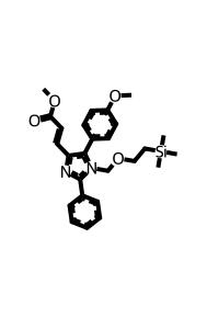 COC(=O)C=Cc1nc(-c2ccccc2)n(COCC[Si](C)(C)C)c1-c1ccc(OC)cc1